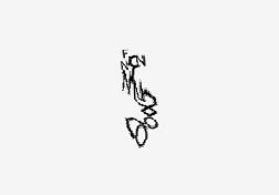 Fc1cncc2c(N3CCCC4(CC(OC5CCCCO5)C4)C3)ncnc12